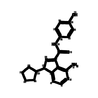 Nc1ncnc2c1c(C(=O)Nc1ccc(O)cc1)nn2C1CCCC1